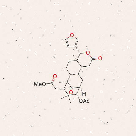 COC(=O)C[C@H]1C(C)(C)[C@@H](OC(C)=O)[C@@H]2CC3C4CC(=O)O[C@@H](c5ccoc5)[C@]4(C)CCC3[C@@]1(C)C2=O